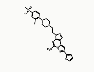 CS(=N)(=O)c1ccc(N2CCN(CCn3ncc4c3nc(N)n3nc(-c5ccco5)cc43)CC2)c(F)c1